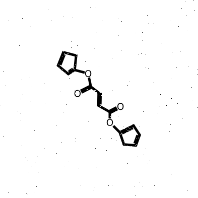 O=C(/C=C/C(=O)OC1=CC=CC1)OC1=CC=CC1